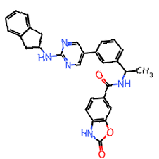 C[C@@H](NC(=O)c1ccc2[nH]c(=O)oc2c1)c1cccc(-c2cnc(NC3Cc4ccccc4C3)nc2)c1